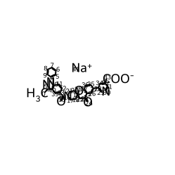 Cc1nn(-c2ccccc2)c2ccc(C(=O)N3CCC4(CC3)CC(=O)c3cc(-c5cncc(C(=O)[O-])c5)ccc3O4)cc12.[Na+]